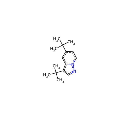 CC(C)(C)c1ccn2ncc(C(C)(C)C)c2c1